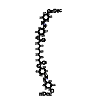 CCCCCCCCCCOc1ccc(/N=N/c2ccc(OC(=O)CCCCCCCC(=O)Oc3ccc(/N=N/c4ccc(OCCCCCCCCCC)cc4)cc3)cc2)cc1